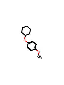 COc1ccc(OC2CCCCC2)cc1